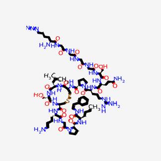 CCCC[C@@H](NC(=O)[C@@H]1CCCN1C(=O)CNC(=O)[C@H](CCCCN)NC(=O)[C@@H]1CSSC[C@H](NC(=O)[C@@H]2CCCN2C(=O)[C@H](CCCNC(=N)N)NC(=O)[C@H](CCC(N)=O)NC(=O)[C@H](CO)NC(=O)CNC(=O)CNC(=O)CNC(=O)CNC(=O)[C@@H](N)CCCCN=[N+]=[N-])C(=O)N[C@@H](CC(C)C)C(=O)N[C@@H](CO)C(=O)N1)C(=O)NCCc1ccccc1